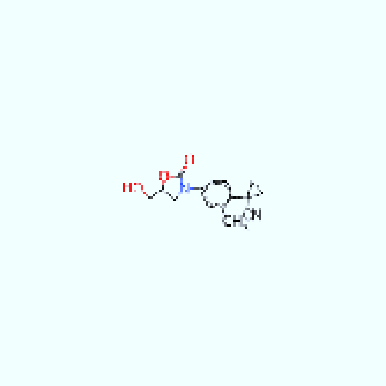 Cc1cc(N2CC(CO)OC2=O)ccc1C1(C#N)CC1